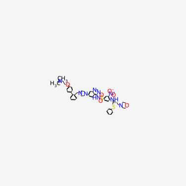 CN(C)CCOc1ccc(-c2ccccc2CN2CCN(c3ccc4c(NS(=O)(=O)c5ccc(N[C@H](CCN6CCOCC6)CSc6ccccc6)c([N+](=O)[O-])c5)ncnc4c3)CC2)cc1